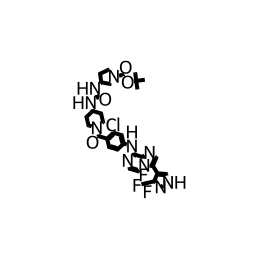 CC(C)(C)OC(=O)N1CCC(NC(=O)NC2CCN(C(=O)c3ccc(Nc4nccn5c(-c6c[nH]nc6C(F)(F)F)cnc45)cc3Cl)CC2)C1